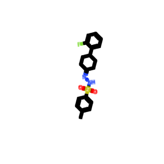 Cc1ccc(S(=O)(=O)NN=C2CCC(c3ccccc3F)CC2)cc1